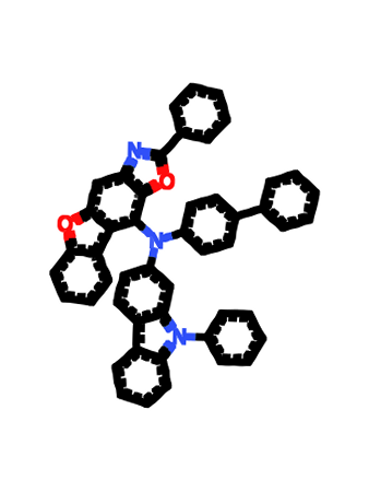 c1ccc(-c2ccc(N(c3ccc4c5ccccc5n(-c5ccccc5)c4c3)c3c4oc(-c5ccccc5)nc4cc4oc5ccccc5c34)cc2)cc1